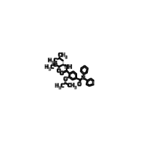 COC(=O)[C@H](CC(C)C)NC(=O)c1ccc(C(=O)N(c2ccccc2)c2ccccc2)cc1OC(C)C